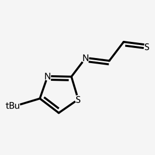 CC(C)(C)c1csc(N=CC=S)n1